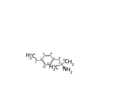 C=Cc1ccc(CC(C)(C)N)cc1